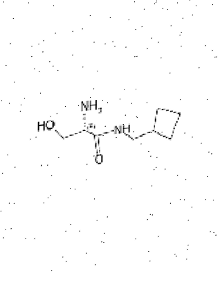 N[C@@H](CO)C(=O)NCC1CCC1